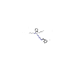 CC1(C)\C(=C/C=C/C=C/C2=[N+](CCCCS(=O)(=O)O)c3ccc(S(=O)(=O)O)cc3/C2=C\CCCCC(=O)O)Nc2c(Cl)cc(Cl)cc21